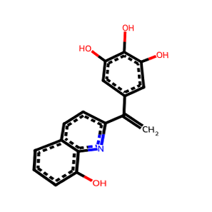 C=C(c1cc(O)c(O)c(O)c1)c1ccc2cccc(O)c2n1